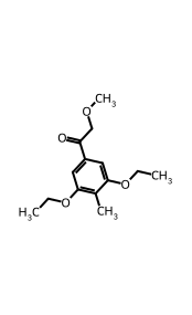 CCOc1cc(C(=O)COC)cc(OCC)c1C